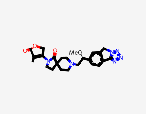 CO[C@@H](CN1CCC2(CC1)CCN(C1=C(C)C(=O)OC1)C2=O)c1ccc2c(c1)Cn1nnnc1-2